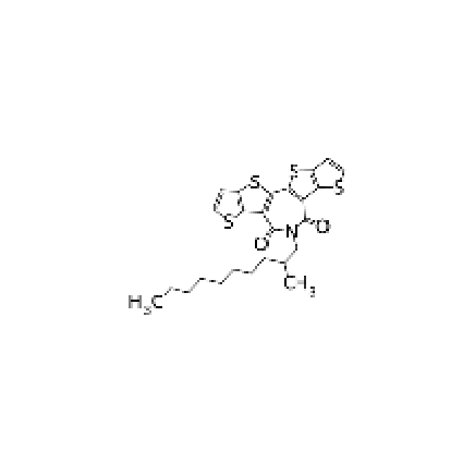 CCCCCCCCC(C)Cn1c(=O)c2c3sccc3sc2c2sc3ccsc3c2c1=O